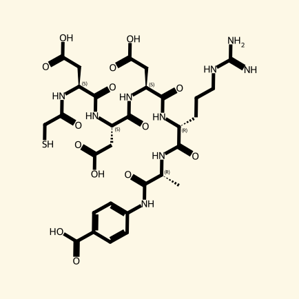 C[C@@H](NC(=O)[C@@H](CCCNC(=N)N)NC(=O)[C@H](CC(=O)O)NC(=O)[C@H](CC(=O)O)NC(=O)[C@H](CC(=O)O)NC(=O)CS)C(=O)Nc1ccc(C(=O)O)cc1